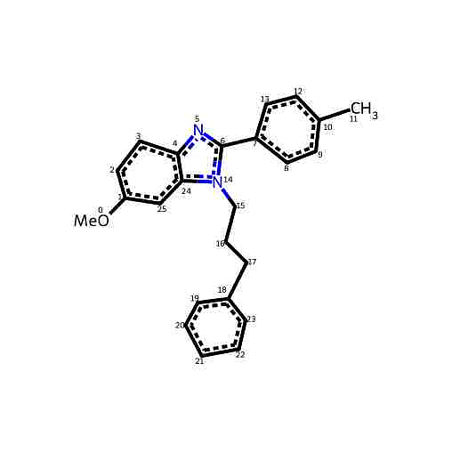 COc1ccc2nc(-c3ccc(C)cc3)n(CCCc3ccccc3)c2c1